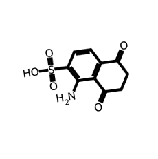 Nc1c(S(=O)(=O)O)ccc2c1C(=O)CCC2=O